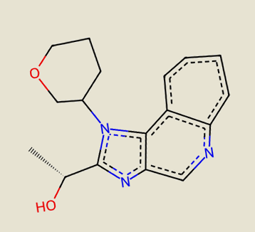 C[C@@H](O)c1nc2cnc3ccccc3c2n1C1CCCOC1